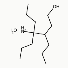 CCCC(CCO)C(N)(CCC)CCC.O